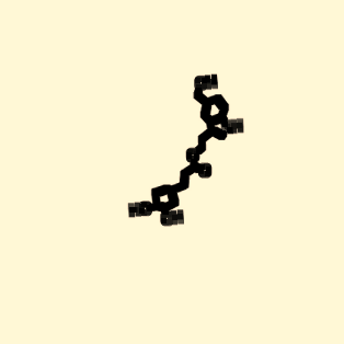 O=C(/C=C/c1ccc(O)c(O)c1)OCCc1c[nH]c2ccc(CO)cc12